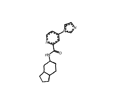 O=C(NC1CCC2CCCC2C1)c1cc(-n2ccnc2)ccn1